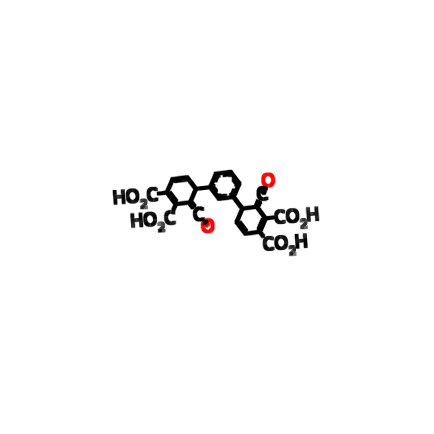 O=C=C1C(C(=O)O)=C(C(=O)O)C=CC1c1cccc(C2C=CC(C(=O)O)=C(C(=O)O)C2=C=O)c1